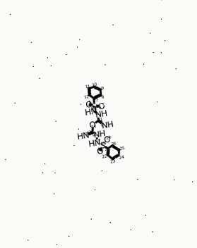 N=C(NNS(=O)(=O)c1ccccc1)OC(=N)NNS(=O)(=O)c1ccccc1